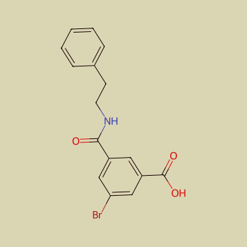 O=C(O)c1cc(Br)cc(C(=O)NCCc2ccccc2)c1